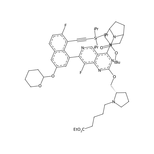 CCOC(=O)CCCCN1CCC[C@H]1COc1nc(N2CC3CCC(C2)N3C(=O)OC(C)(C)C)c2cnc(-c3cc(OC4CCCCO4)cc4ccc(F)c(C#C[Si](C(C)C)(C(C)C)C(C)C)c34)c(F)c2n1